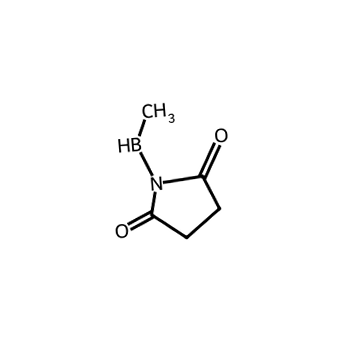 CBN1C(=O)CCC1=O